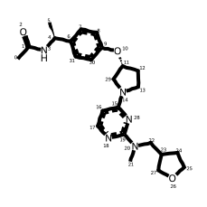 CC(=O)N[C@@H](C)c1ccc(O[C@@H]2CCN(c3ccnc(N(C)CC4CCOC4)n3)C2)cc1